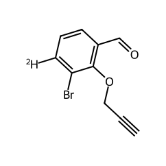 [2H]c1ccc(C=O)c(OCC#C)c1Br